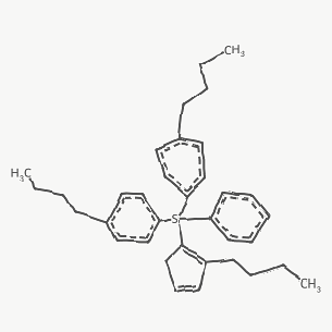 CCCCC1=C([Si](c2ccccc2)(c2ccc(CCCC)cc2)c2ccc(CCCC)cc2)CC=C1